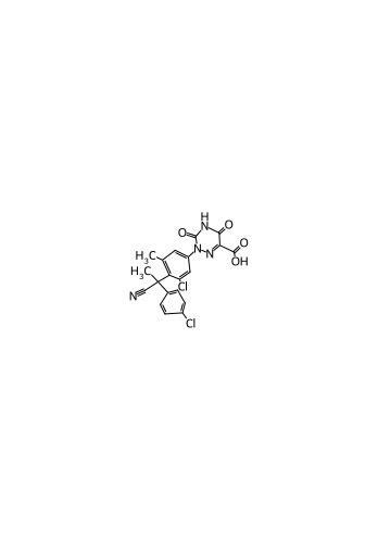 Cc1cc(-n2nc(C(=O)O)c(=O)[nH]c2=O)cc(Cl)c1C(C)(C#N)c1ccc(Cl)cc1